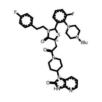 CC(C)(C)N1CCN(c2c(F)cccc2C2S[C@@H](CC(=O)N3CCC(n4c(=O)[nH]c5ncccc54)CC3)C(=O)N2CCc2ccc(F)cc2)CC1